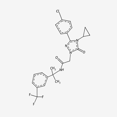 CC(C)(NC(=O)Cn1nc(-c2ccc(Cl)cc2)n(C2CC2)c1=O)c1cccc(C(F)(F)F)c1